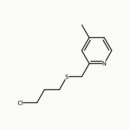 Cc1ccnc(CSCCCCl)c1